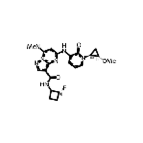 CNc1cc(Nc2cccn([C@H]3C[C@@H]3OC)c2=O)nc2c(C(=O)NC3CC[C@H]3F)cnn12